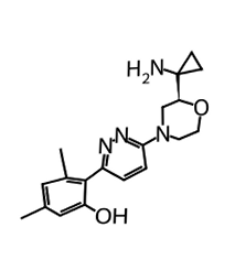 Cc1cc(C)c(-c2ccc(N3CCO[C@H](C4(N)CC4)C3)nn2)c(O)c1